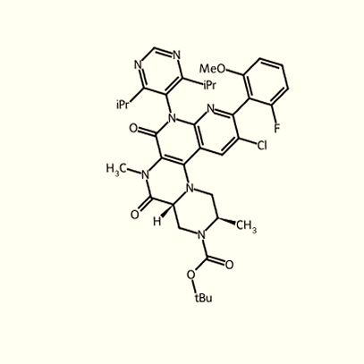 COc1cccc(F)c1-c1nc2c(cc1Cl)c1c(c(=O)n2-c2c(C(C)C)ncnc2C(C)C)N(C)C(=O)[C@H]2CN(C(=O)OC(C)(C)C)[C@H](C)CN12